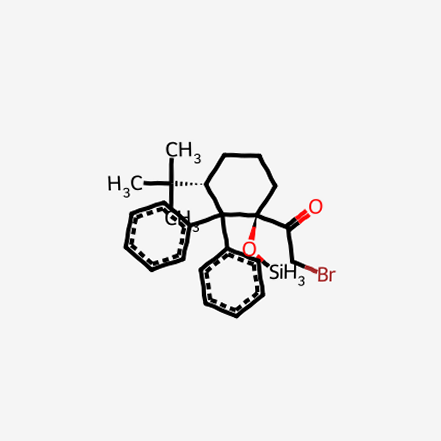 CC(C)(C)[C@@H]1CCC[C@](O[SiH3])(C(=O)CBr)C1(c1ccccc1)c1ccccc1